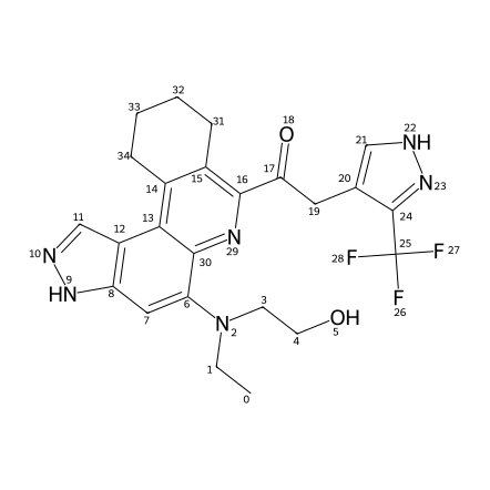 CCN(CCO)c1cc2[nH]ncc2c2c3c(c(C(=O)Cc4c[nH]nc4C(F)(F)F)nc12)CCCC3